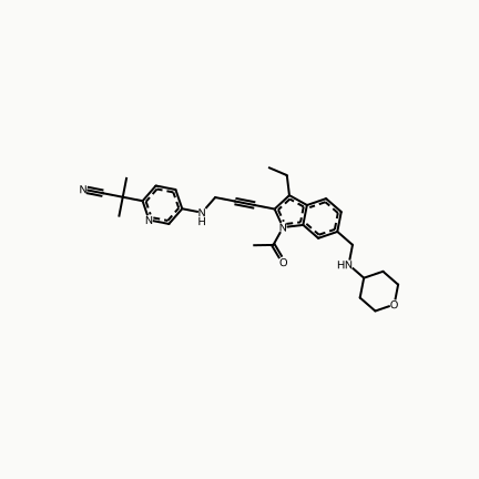 CCc1c(C#CCNc2ccc(C(C)(C)C#N)nc2)n(C(C)=O)c2cc(CNC3CCOCC3)ccc12